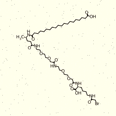 C[C@H](CCC(=O)NCCOCCOCC(=O)NCCOCCOCC(=O)N[C@@H](CCCCNC(=O)CBr)C(=O)O)NC(=O)CCCCCCCCCCCCCCCCCCC(=O)O